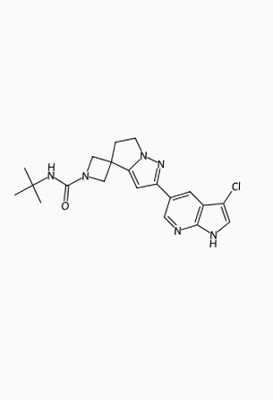 CC(C)(C)NC(=O)N1CC2(CCn3nc(-c4cnc5[nH]cc(Cl)c5c4)cc32)C1